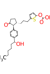 CCCCCC(O)c1ccc([C@H]2C(=O)CC[C@@H]2CCCc2ccc(OC(=O)O)s2)cc1